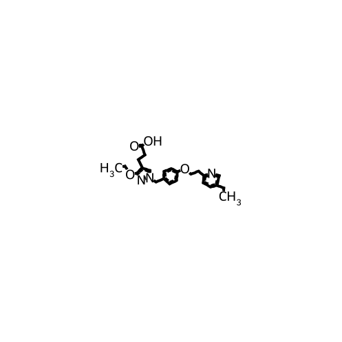 CCOc1nn(Cc2ccc(OCCc3ccc(CC)cn3)cc2)cc1CCC(=O)O